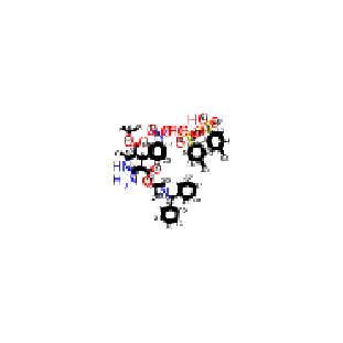 CC1=C(C(=O)OC(C)C)C(c2cccc([N+](=O)[O-])c2)C(C(=O)OC2CN(C(c3ccccc3)c3ccccc3)C2)=C(N)N1.Cc1ccc(S(=O)(=O)O)cc1.Cc1ccc(S(=O)(=O)O)cc1